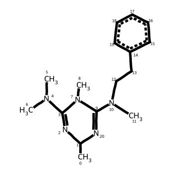 CC1N=C(N(C)C)N(C)C(N(C)CCc2ccccc2)=N1